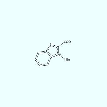 CCCC[n+]1c(C(=O)[O-])sc2ccccc21